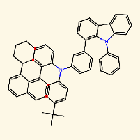 CC(C)(C)c1ccc(N(c2cccc(-c3cccc4c5ccccc5n(-c5ccccc5)c34)c2)c2ccccc2-c2cccc3cccc(C4CCCCC4)c23)cc1